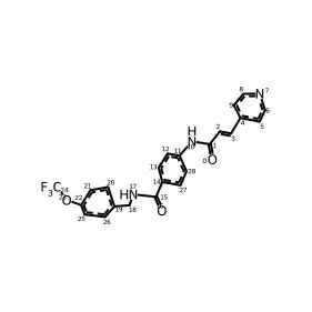 O=C(C=Cc1ccncc1)Nc1ccc(C(=O)NCc2ccc(OC(F)(F)F)cc2)cc1